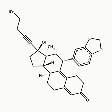 CC(C)CCC#C[C@@]1(O)CC[C@H]2[C@@H]3CCC4=CC(=O)CCC4=C3[C@@H](c3ccc4c(c3)OCO4)C[C@@]21C